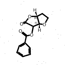 O=C(OC1C(=O)O[C@@H]2CCO[C@H]12)c1ccccc1